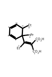 CCCC1(C(CC)=C(C(=O)O)C(=O)O)C=CC=CC1CC